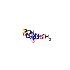 COCc1ccc(C(=O)NCc2ccc(Oc3sccc3C)cc2)c(N)n1